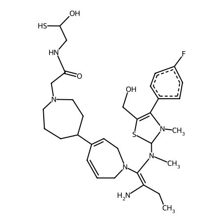 CC/C(N)=C(/N1CC=CC(C2CCCN(CC(=O)NCC(O)S)CC2)=CC1)N(C)C1SC(CO)=C(c2ccc(F)cc2)N1C